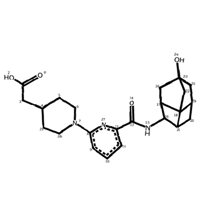 O=C(O)CC1CCN(c2cccc(C(=O)NC3C4CC5CC3CC(O)(C5)C4)n2)CC1